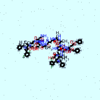 C[C@H](NC(=O)CC[C@H](N)C(=O)N[C@@H](C)C(=O)N[C@@H](CC(=O)O)C(=O)N[C@@H](CC(N)=O)C(=O)NCCCN(C(=O)CO)[C@@H](c1cc(-c2cc(F)ccc2F)cn1Cc1ccccc1)C(C)(C)C)C(=O)N[C@@H](C)C(=O)N[C@@H](CC(N)=O)C(=O)N[C@@H](CCN(C(=O)CO)[C@@H](c1cc(-c2cc(F)ccc2F)cn1Cc1ccccc1)C(C)(C)C)C(=O)NCCC(=O)N[C@H](CCC(=O)OCc1ccccc1)C(=O)OCc1ccccc1